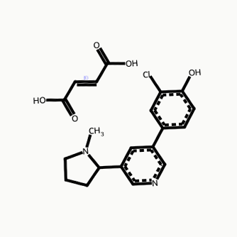 CN1CCCC1c1cncc(-c2ccc(O)c(Cl)c2)c1.O=C(O)/C=C/C(=O)O